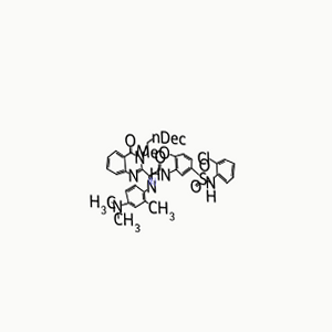 CCCCCCCCCCCCn1c(/C(=N\c2ccc(N(C)C)cc2C)C(=O)Nc2cc(S(=O)(=O)Nc3ccccc3Cl)ccc2OC)nc2ccccc2c1=O